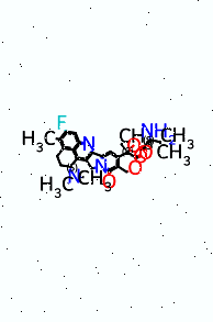 CC[C@@]1(OC(=O)[C@@H](N)C(C)C)C(=O)OCc2c1cc1n(c2=O)Cc2c-1nc1cc(F)c(C)c3c1c2[C@@H](N(C)C)CC3